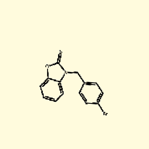 S=c1oc2ccccc2n1Cc1ccc(Br)cc1